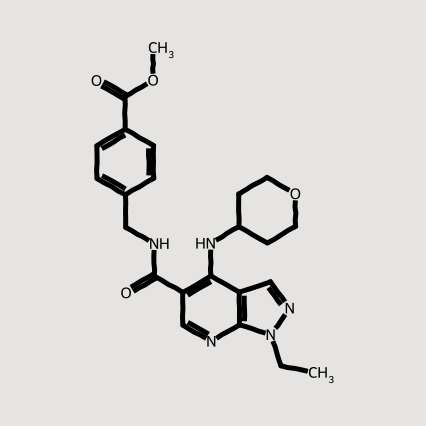 CCn1ncc2c(NC3CCOCC3)c(C(=O)NCc3ccc(C(=O)OC)cc3)cnc21